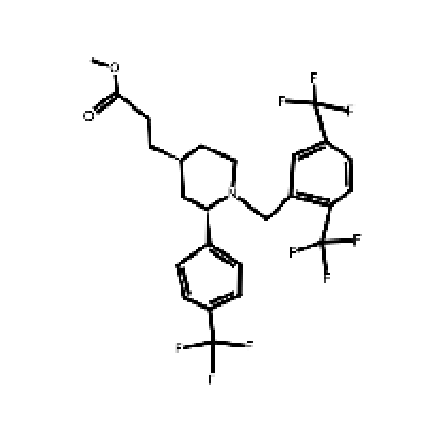 COC(=O)CC[C@H]1CCN(Cc2cc(C(F)(F)F)ccc2C(F)(F)F)[C@@H](c2ccc(C(F)(F)F)cc2)C1